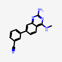 CNc1nc(N)nc2cc(-c3cccc(C#N)c3)ccc12